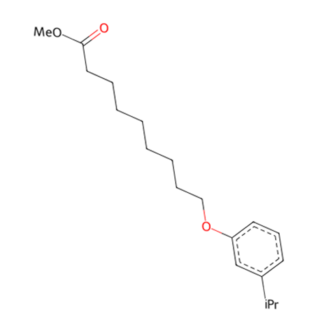 COC(=O)CCCCCCCCOc1cccc(C(C)C)c1